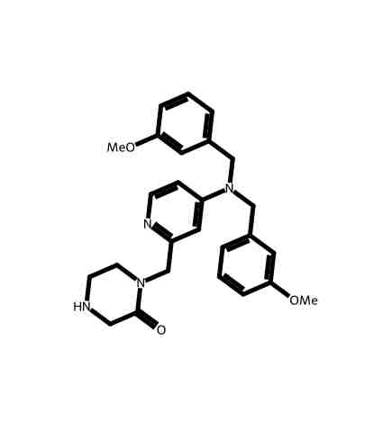 COc1cccc(CN(Cc2cccc(OC)c2)c2ccnc(CN3CCNCC3=O)c2)c1